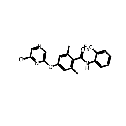 Cc1cc(Oc2cncc(Cl)n2)cc(C)c1C(=O)Nc1ccccc1C(F)(F)F